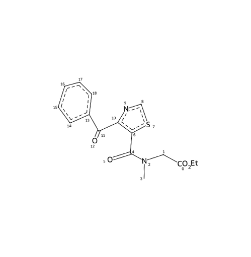 CCOC(=O)CN(C)C(=O)c1scnc1C(=O)c1ccccc1